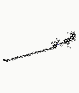 CCc1c2c(nc3ccc(OCC(=O)N/N=C(/c4ccc(OCCOCCOCCOCCOCCOCCOCCOCCOCCOCCOCCOCCN=[N+]=[N-])cc4)C(C)C)cc13)-c1cc3c(c(=O)n1C2)COC(=O)C3CC